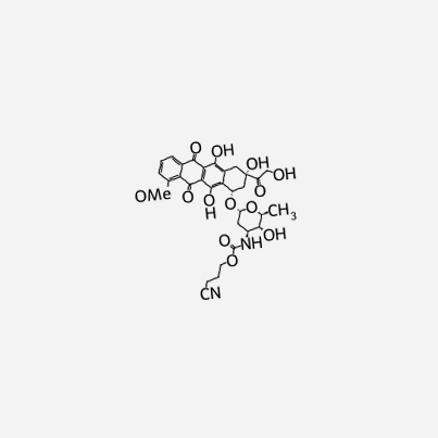 COc1cccc2c1C(=O)c1c(O)c3c(c(O)c1C2=O)C[C@@](O)(C(=O)CO)C[C@@H]3O[C@H]1C[C@H](NC(=O)OCCCC#N)[C@H](O)[C@H](C)O1